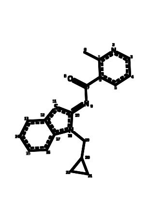 Cc1ncccc1C(=O)/N=c1\sc2ccccc2n1CC1CC1